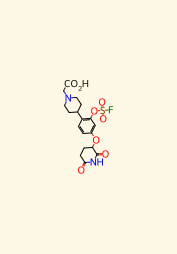 O=C(O)CN1CCC(c2ccc(OC3CCC(=O)NC3=O)cc2OS(=O)(=O)F)CC1